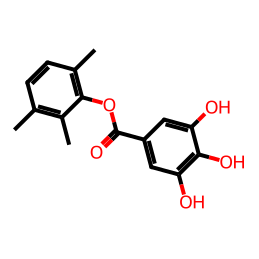 Cc1ccc(C)c(OC(=O)c2cc(O)c(O)c(O)c2)c1C